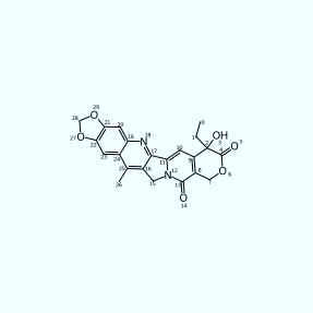 CCC1(O)C(=O)OCc2c1cc1n(c2=O)Cc2c-1nc1cc3c(cc1c2C)OCO3